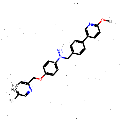 C=C(C)/C=N\C(=C/C)COc1ccc(N(N)Cc2ccc(-c3ccc(OCC)nc3)cc2)cc1